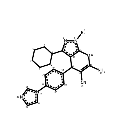 CCn1nc(C2CCCCC2)c2c1OC(N)=C(C#N)C2c1ccc(-n2ccnc2)cc1